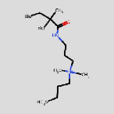 CC(C)(C)CC(C)(C(=O)NCCC[N+](C)(C)CCCS(=O)(=O)O)C(C)(C)C